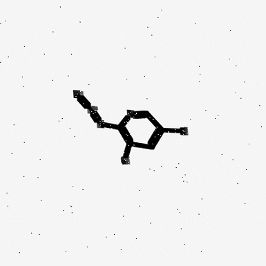 [N-]=[N+]=Nc1ncc(Cl)cc1Cl